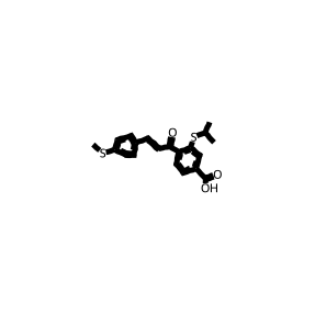 CSc1ccc(/C=C/C(=O)c2ccc(C(=O)O)cc2SC(C)C)cc1